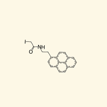 O=C(CI)NCCc1ccc2ccc3cccc4ccc1c2c34